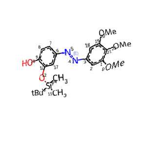 COc1cc(/N=N/c2ccc(O)c(O[Si](C)(C)C(C)(C)C)c2)cc(OC)c1OC